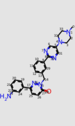 CN1CCN(c2cnc(-c3cccc(Cn4nc(-c5cccc(N)c5)ccc4=O)c3)nc2)CC1